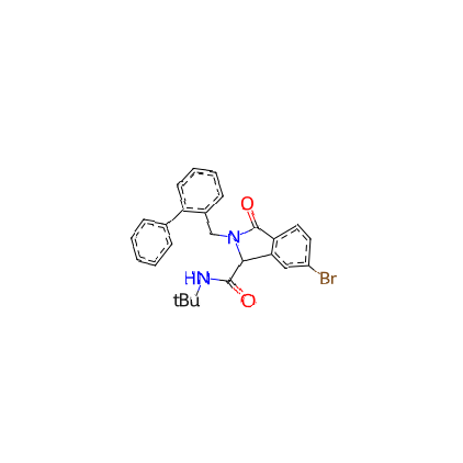 CC(C)(C)NC(=O)C1c2cc(Br)ccc2C(=O)N1Cc1ccccc1-c1ccccc1